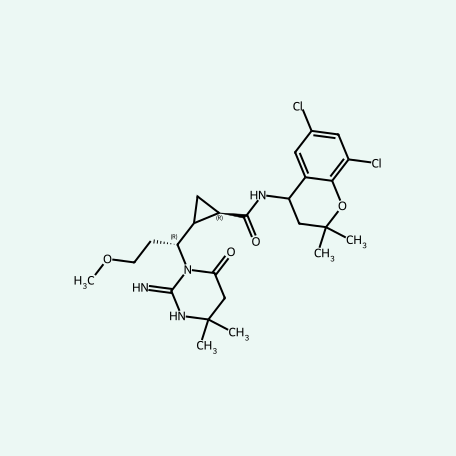 COCC[C@H](C1C[C@H]1C(=O)NC1CC(C)(C)Oc2c(Cl)cc(Cl)cc21)N1C(=N)NC(C)(C)CC1=O